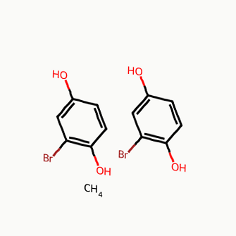 C.Oc1ccc(O)c(Br)c1.Oc1ccc(O)c(Br)c1